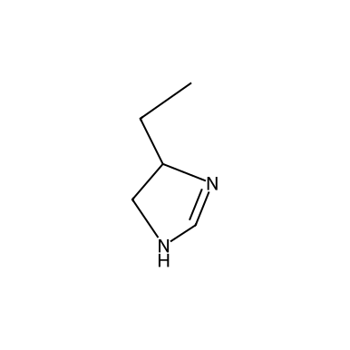 CCC1CNC=N1